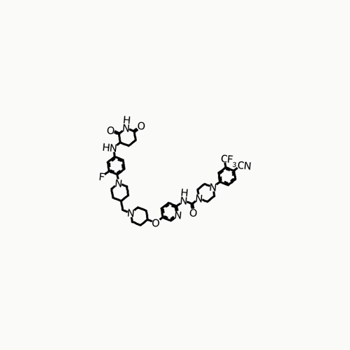 N#Cc1ccc(N2CCN(C(=O)Nc3ccc(OC4CCN(CC5CCN(c6ccc(NC7CCC(=O)NC7=O)cc6F)CC5)CC4)cn3)CC2)cc1C(F)(F)F